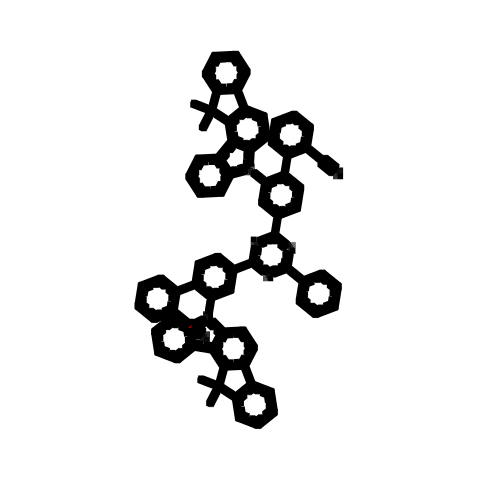 CC1(C)c2ccccc2-c2ccc3c(c21)c1ccccc1n3-c1cc(-c2nc(-c3ccccc3)nc(-c3ccc(-c4ccccc4C#N)c(-n4c5ccccc5c5c6c(ccc54)-c4ccccc4C6(C)C)c3)n2)ccc1-c1ccccc1C#N